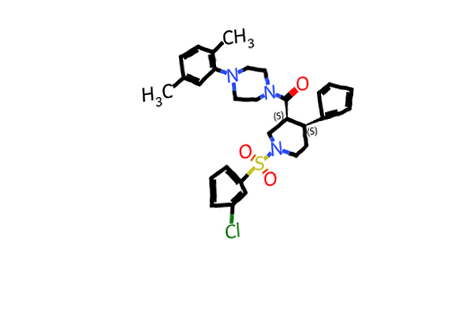 Cc1ccc(C)c(N2CCN(C(=O)[C@@H]3CN(S(=O)(=O)c4cccc(Cl)c4)CC[C@@H]3c3ccccc3)CC2)c1